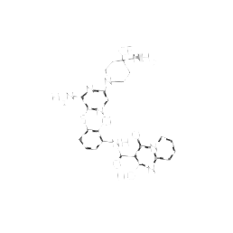 Nc1nc(N2CCC(N)(C(F)(F)F)CC2)cnc1Sc1cccc(NC(=O)c2c(O)nc3ccccn3c2=O)c1Cl